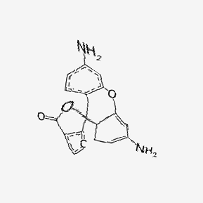 NC1=CCC2C(=C1)Oc1cc(N)ccc1C21OC(=O)c2ccccc21